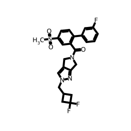 CS(=O)(=O)c1ccc(-c2cccc(F)c2)c(C(=O)N2Cc3cn(CC4CC(F)(F)C4)nc3C2)c1